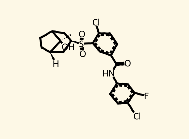 C[C@@]1(O)C2CC[C@H]1C[C@H](S(=O)(=O)c1cc(C(=O)Nc3ccc(Cl)c(F)c3)ccc1Cl)C2